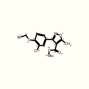 Cc1onc(-c2ccc(OCBr)c(Cl)c2)c1C(=O)OC(C)(C)C